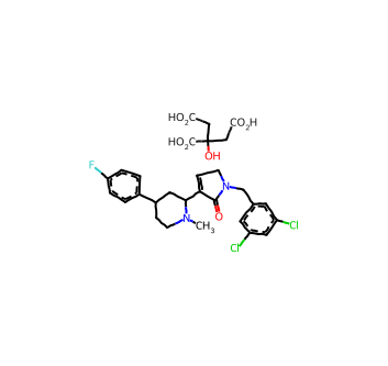 CN1CCC(c2ccc(F)cc2)CC1C1=CCN(Cc2cc(Cl)cc(Cl)c2)C1=O.O=C(O)CC(O)(CC(=O)O)C(=O)O